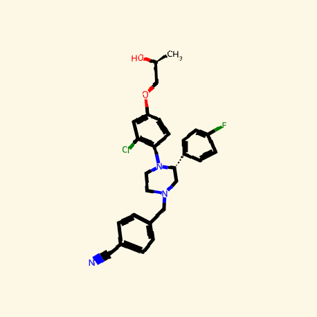 C[C@H](O)COc1ccc(N2CCN(Cc3ccc(C#N)cc3)C[C@H]2c2ccc(F)cc2)c(Cl)c1